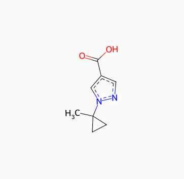 CC1(n2cc(C(=O)O)cn2)CC1